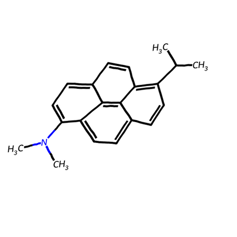 CC(C)c1ccc2ccc3c(N(C)C)ccc4ccc1c2c43